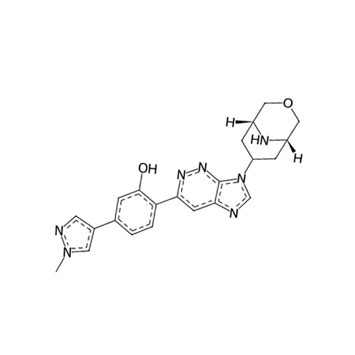 Cn1cc(-c2ccc(-c3cc4ncn(C5C[C@H]6COC[C@@H](C5)N6)c4nn3)c(O)c2)cn1